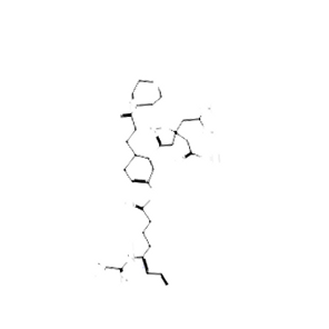 C=C/C=C(\CCCC(=O)OC1=CCC(CCC(=O)N2CCOCC2)[C@@H](C2=NOC(CC(=O)O)(CC(O)O)C2)C1)NC(=N)N